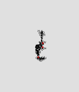 CC(=O)NNC(=O)OCCSSC[C@@H](NC(=O)[C@@H](Cc1ccccc1)NC(=O)[C@H](CC(=O)O)NC(=O)CC[C@H](NC(=O)CC[C@H](NC(=S)N[C@@H](CCC(=O)O)C(=O)O)C(=O)O)C(=O)O)C(=O)O